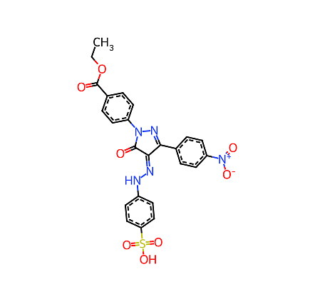 CCOC(=O)c1ccc(N2N=C(c3ccc([N+](=O)[O-])cc3)C(=NNc3ccc(S(=O)(=O)O)cc3)C2=O)cc1